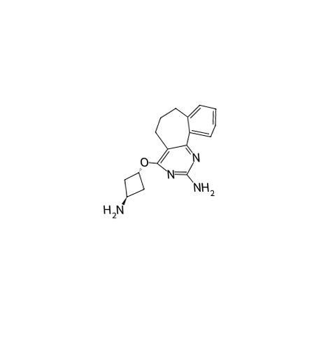 Nc1nc(O[C@H]2C[C@H](N)C2)c2c(n1)-c1ccccc1CCC2